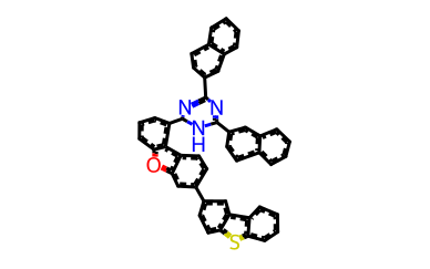 c1ccc2cc(C3=NC(c4cccc5oc6cc(-c7ccc8sc9ccccc9c8c7)ccc6c45)NC(c4ccc5ccccc5c4)=N3)ccc2c1